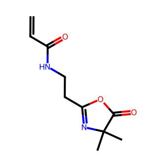 C=CC(=O)NCCC1=NC(C)(C)C(=O)O1